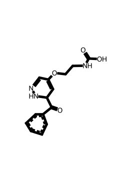 O=C(O)NCCOC1=CC(C(=O)c2ccccc2)NN=C1